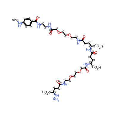 CCCNc1ccc(C(=O)NCCNC(=O)COCCOCCNC(=O)CCC(NC(=O)CCC(NC(=O)COCCOCCNC(=O)CCC(NN)C(=O)O)C(=O)O)C(=O)O)cc1